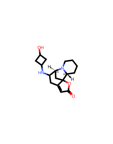 O=C1C=C2CC(NC3CC(O)C3)[C@@H]3CC2(O1)[C@H]1CCCCN31